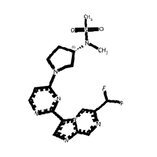 CN([C@H]1CCN(c2ccnc(-c3cnc4cnc(C(F)F)cn34)n2)C1)S(C)(=O)=O